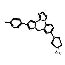 N[C@H]1CCN(c2ccc3c(c2)Cn2cc(-c4ccc(F)cc4)cc2-c2nccn2-3)C1